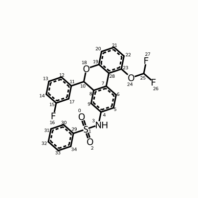 O=S(=O)(Nc1ccc2c(c1)C(c1cccc(F)c1)Oc1cccc(OC(F)F)c1-2)c1ccccc1